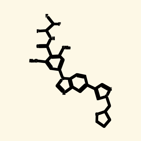 COc1cc(-n2cnc3cc(-c4cnn(CC5CCCO5)c4)ccc32)cc(OC)c1C(=O)NC(F)C(F)F